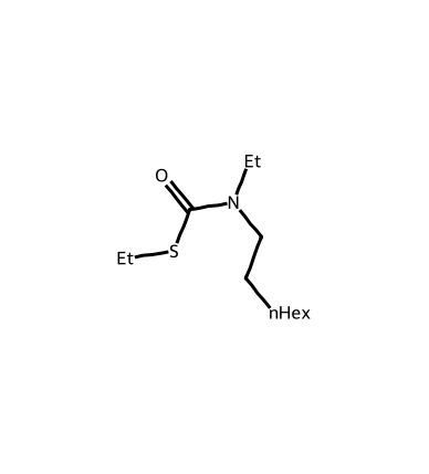 CCCCCCCCN(CC)C(=O)SCC